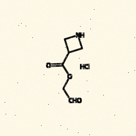 Cl.O=CCOC(=O)C1CNC1